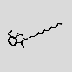 [CH2]CCCCCCCCCOOC(=O)c1cccc(OC)c1OC